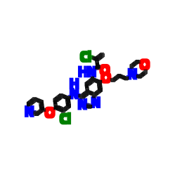 C=C(Cl)C(=O)Nc1cc2c(Nc3ccc(Oc4cccnc4)c(Cl)c3)ncnc2cc1OCCCN1CCOCC1